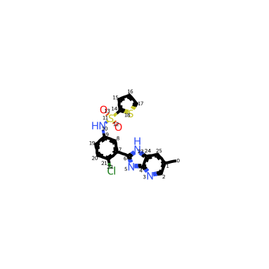 Cc1cnc2nc(-c3cc(NS(=O)(=O)c4cccs4)ccc3Cl)[nH]c2c1